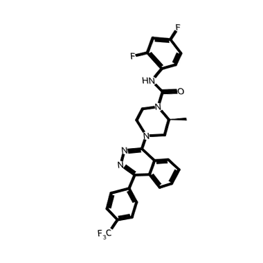 C[C@H]1CN(c2nnc(-c3ccc(C(F)(F)F)cc3)c3ccccc23)CCN1C(=O)Nc1ccc(F)cc1F